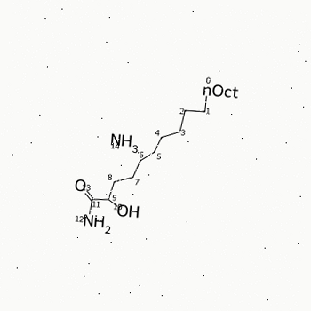 CCCCCCCCCCCCCCCCC(O)C(N)=O.N